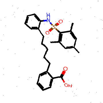 Cc1cc(C)c(S(=O)(=O)Nc2ccccc2CCCCCc2ccccc2C(=O)O)c(C)c1